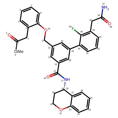 COC(=O)Cc1ccccc1OCc1cc(C(=O)N[C@H]2CCOc3ccccc32)cc(-c2cccc(CC(N)=O)c2F)c1